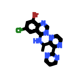 CC(Nc1ncnc2c(Br)cc(Cl)cc12)c1nccnc1-c1ncccn1